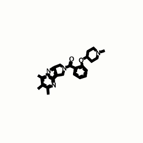 Cc1nc2c3c(nn2c(C)c1C)CN(C(=O)c1ccccc1OC1CCN(C)CC1)C3